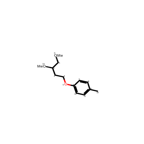 COCC(CCOc1ccc(C)cc1)OC